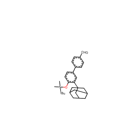 CC(C)(C)[Si](C)(C)Oc1ccc(-c2ccc(C=O)cc2)cc1C12CC3CC(CC(C3)C1)C2